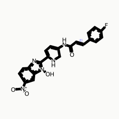 O=C(/C=C/c1ccc(F)cc1)NC1=CC=C(c2nc3ccc([N+](=O)[O-])cc3n2O)NC1